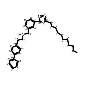 CCCCCCCCCCCc1noc(-c2cccc(CNCCc3ccc(-c4ccccc4)cc3)c2)n1